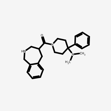 CN(C)C1(c2ccccc2)CCN(C(=O)C2CNCc3ccccc3C2)CC1